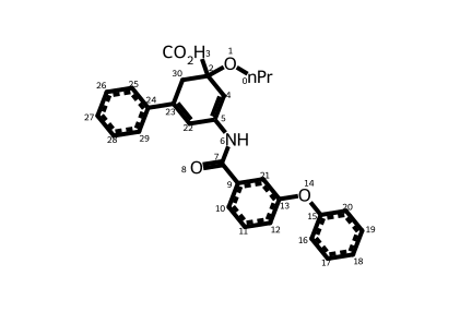 CCCOC1(C(=O)O)C=C(NC(=O)c2cccc(Oc3ccccc3)c2)C=C(c2ccccc2)C1